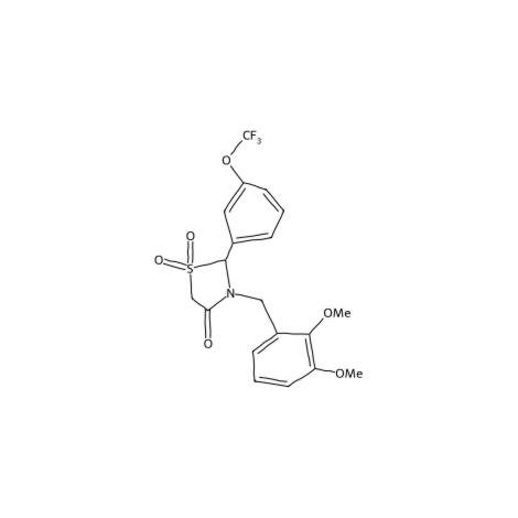 COc1cccc(CN2C(=O)CS(=O)(=O)C2c2cccc(OC(F)(F)F)c2)c1OC